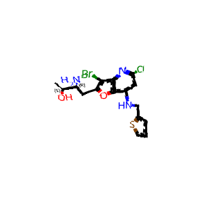 C[C@H](O)[C@H](N)Cc1oc2c(NCc3cccs3)cc(Cl)nc2c1Br